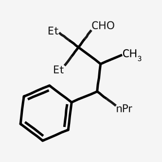 CCCC(c1ccccc1)C(C)C(C=O)(CC)CC